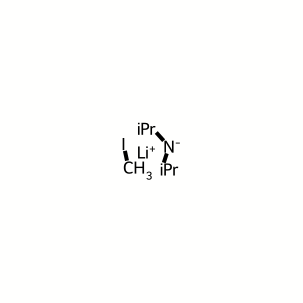 CC(C)[N-]C(C)C.CI.[Li+]